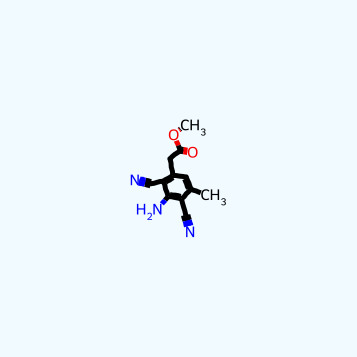 COC(=O)Cc1cc(C)c(C#N)c(N)c1C#N